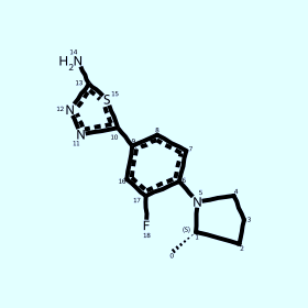 C[C@H]1CCCN1c1ccc(-c2nnc(N)s2)cc1F